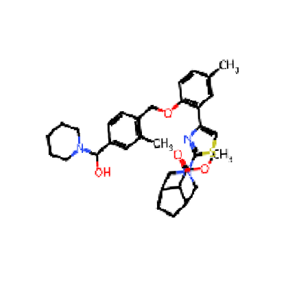 COC(=O)C1C2CCC1CN(c1nc(-c3cc(C)ccc3OCc3ccc(C(O)N4CCCCC4)cc3C)cs1)C2